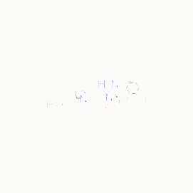 NC(c1cccc(Cl)c1Cl)[C@H]1CCC(=O)N1CCSc1nc(C(=O)O)cs1